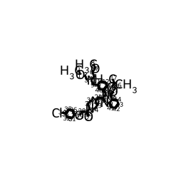 COCCN(CCOC)Cc1ccc(OC(C)C)c(-n2c(CN3CCN(C(=O)COc4ccc(Cl)cc4)CC3)nc3ccccc3c2=O)c1